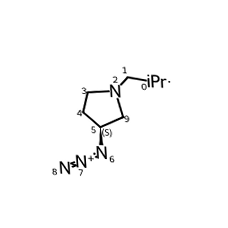 C[C](C)CN1CC[C@H](N=[N+]=[N-])C1